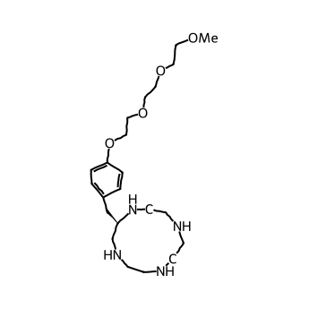 COCCOCCOCCOc1ccc(C[C@@H]2CNCCNCCNCCN2)cc1